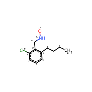 CCCCc1cccc(Cl)c1CNO